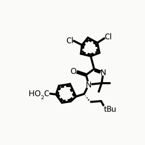 CC(C)(C)CC[C@H](c1ccc(C(=O)O)cc1)N1C(=O)C(c2cc(Cl)cc(Cl)c2)=NC1(C)C